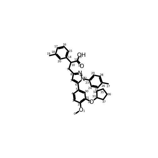 COc1ccc(-c2cc(CC(C(=O)O)c3cccc(C)c3)nn2-c2ccc(C)cc2)cc1OC1CCCC1